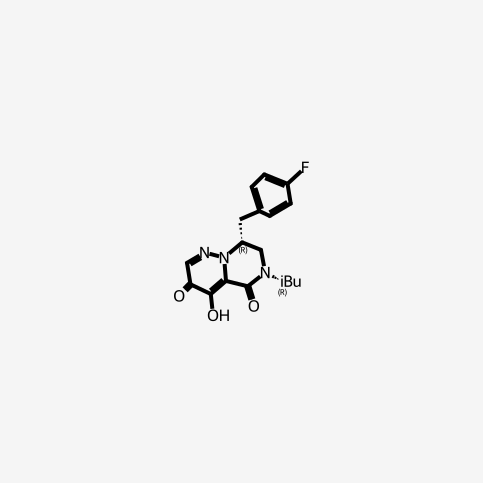 CC[C@@H](C)N1C[C@@H](Cc2ccc(F)cc2)n2ncc(=O)c(O)c2C1=O